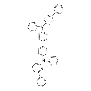 C1=C(n2c3ccccc3c3cc(-c4ccc5c(c4)c4ccccc4n5-c4ccc(-c5ccccc5)cc4)ccc32)N=C(c2ccccc2)CC1